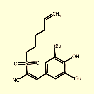 C=CCCCCS(=O)(=O)C(C#N)=Cc1cc(C(C)(C)C)c(O)c(C(C)(C)C)c1